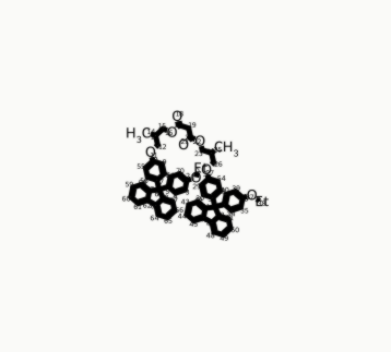 CCOc1ccc(C2(c3ccc(OCC(C)COC(=O)CC(=O)OCC(C)COc4ccc(C5(c6ccc(OCC)cc6)c6ccccc6-c6ccccc65)cc4)cc3)c3ccccc3-c3ccccc32)cc1